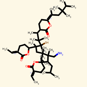 C/C=C1\CCC(C(C)(CC(C)(CC)C(C)(CN)C(CC(C)C)C2(C)CC/C(=C\C)C(=O)O2)C(C)(S)C(C)(C)C(C)C2CC/C(=C(\C)CC(C)(C)C(C)C)OC2=O)OC1=O